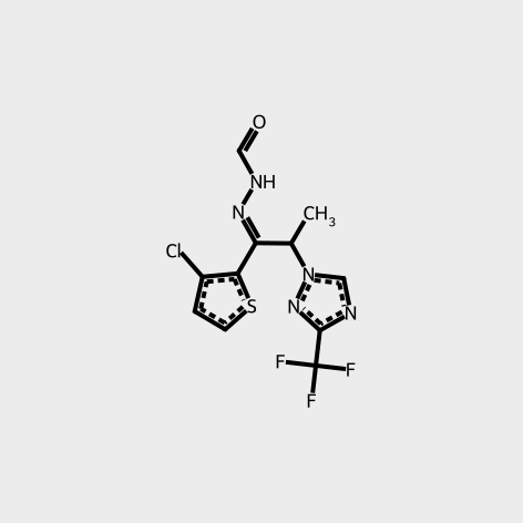 CC(C(=NNC=O)c1sccc1Cl)n1cnc(C(F)(F)F)n1